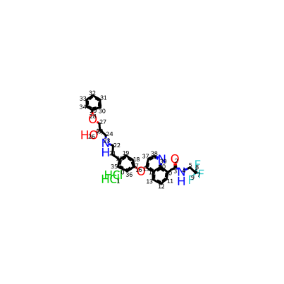 Cl.Cl.O=C(NCC(F)(F)F)c1cccc2c(Oc3ccc(CCNC[C@H](O)COc4ccccc4)cc3)ccnc12